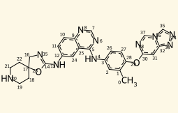 Cc1cc(Nc2ncnc3ccc(NC4=NCC5(CCNCC5)O4)cc23)ccc1Oc1cc2nncn2cn1